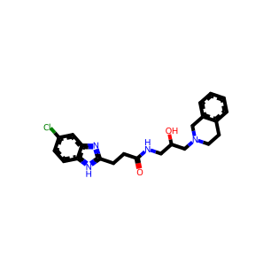 O=C(CCc1nc2cc(Cl)ccc2[nH]1)NCC(O)CN1CCc2ccccc2C1